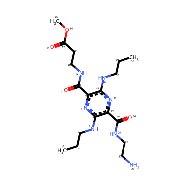 CCCNc1nc(C(=O)NCCC(=O)OC)c(NCCC)nc1C(=O)NCCN